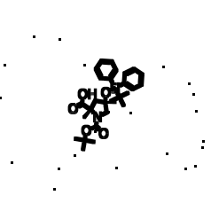 CC(C)(C)OC(=O)N1C[C@@](C)(O[Si](c2ccccc2)(c2ccccc2)C(C)(C)C)C[C@@]1(C)C(=O)O